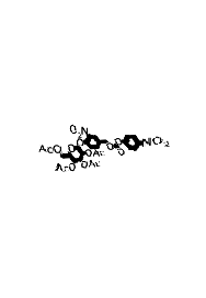 CC(=O)OCC1OC(Oc2ccc(COC(=O)Oc3ccc([N+](=O)[O-])cc3)cc2[N+](=O)[O-])C(OC(C)=O)C(OC(C)=O)C1OC(C)=O